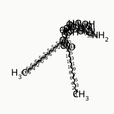 CCCCCCC=CCCCCCCCCCC(=O)OC[C@H](COP(=O)(O)OP(=O)(O)OC[C@H]1O[C@@H](n2ccc(N)nc2=O)[C@H](O)[C@@H]1O)OC(=O)CCCCCCCCCC=CCCCCCC